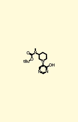 CN(C(=O)OC(C)(C)C)C1CCCN(c2cncnc2O)C1